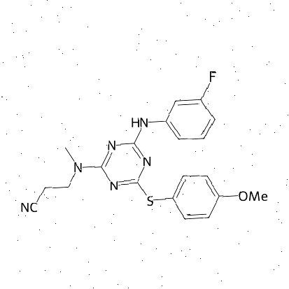 COc1ccc(Sc2nc(Nc3cccc(F)c3)nc(N(C)CCC#N)n2)cc1